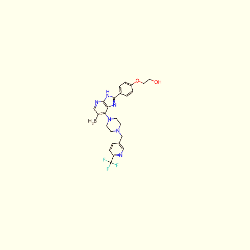 Bc1cnc2[nH]c(-c3ccc(OCCO)cc3)nc2c1N1CCN(Cc2ccc(C(F)(F)F)nc2)CC1